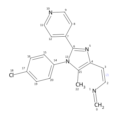 C=N/C=C\c1nc(-c2ccncc2)n(-c2ccc(Cl)cc2)c1C